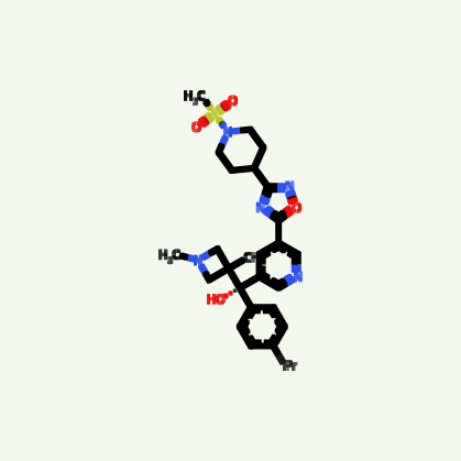 CC(C)c1ccc([C@](O)(c2cncc(-c3nc(C4CCN(S(C)(=O)=O)CC4)no3)c2)C2(C)CN(C)C2)cc1